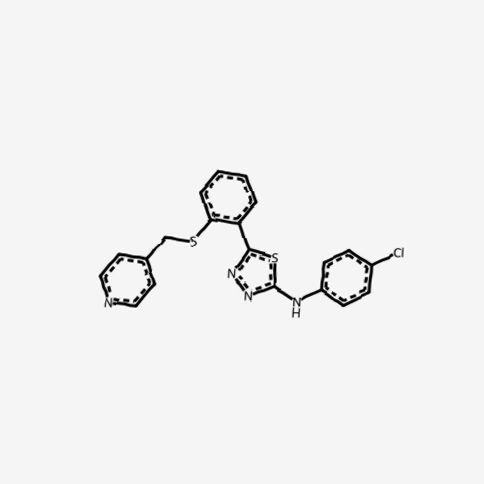 Clc1ccc(Nc2nnc(-c3ccccc3SCc3ccncc3)s2)cc1